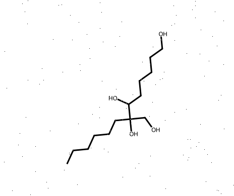 CCCCCCC(O)(CO)C(O)CCCCCO